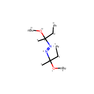 CCCCOC(C)(CC(C)C)N=NC(C)(CC(C)C)OCCCC